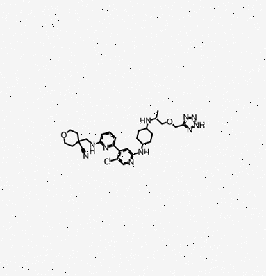 CC(COCc1nn[nH]n1)NC1CCC(Nc2cc(-c3cccc(NCC4(C#N)CCOCC4)n3)c(Cl)cn2)CC1